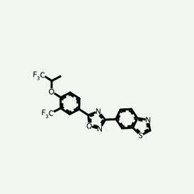 CC(Oc1ccc(-c2nc(-c3ccc4ncsc4c3)no2)cc1C(F)(F)F)C(F)(F)F